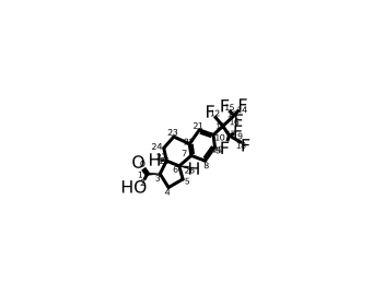 O=C(O)[C@@H]1CC[C@H]2c3ccc(C(F)(C(F)(F)F)C(F)(F)F)cc3CC[C@@H]12